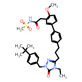 CCn1c(CCCc2ccc(-c3ccc(OC)c(CC(=O)NS(C)(=O)=O)c3)cc2)nn(Cc2ccc(C(C)(C)C)cc2)c1=O